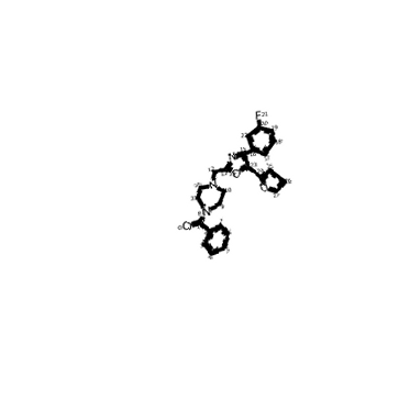 O=C(c1ccccc1)N1CCN(Cc2nc(-c3cccc(F)c3)c(-c3ccco3)o2)CC1